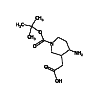 CC(C)(C)OC(=O)N1CCC(N)C(CC(=O)O)C1